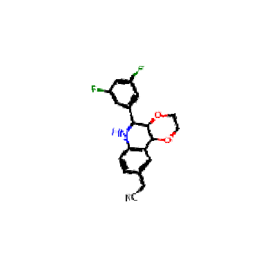 N#CCc1ccc2c(c1)C1OCCOC1C(c1cc(F)cc(F)c1)N2